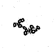 c1ccc(-c2cc3ccc4nc(-n5c6ccccc6c6cc(-c7ccc8c(c7)c7c9ccccc9ccc7n8-c7ccccc7)ccc65)nc(-c5ccccc5)c4c3s2)cc1